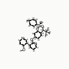 COc1ccncc1-c1cccnc1Oc1ccc(C(OS(=O)(=O)c2ccc(C)cc2)C(F)(F)F)cc1